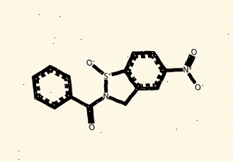 O=C(c1ccccc1)N1Cc2cc([N+](=O)[O-])ccc2[S+]1[O-]